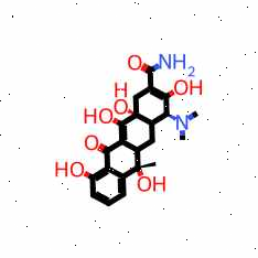 CN(C)[C@@H]1C(O)=C(C(N)=O)C[C@@]2(O)C(O)=C3C(=O)c4c(O)cccc4[C@@](C)(O)C3CC12